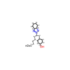 CCCCCCCCCCCCCCC(Cc1ccc(O)cc1)n1nc2ccccc2n1